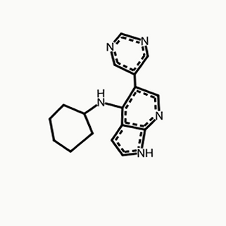 c1ncc(-c2cnc3[nH]ccc3c2NC2CCCCC2)cn1